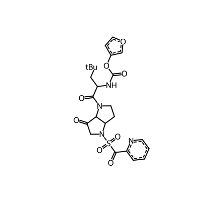 CC(C)(C)CC(NC(=O)Oc1ccoc1)C(=O)N1CCC2C1C(=O)CN2S(=O)(=O)C(=O)c1ccccn1